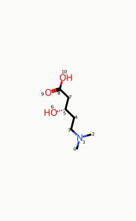 CN(C)CC[C@H](O)CC(=O)O